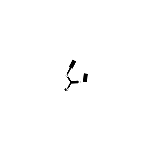 C#C.C#COC(=O)O